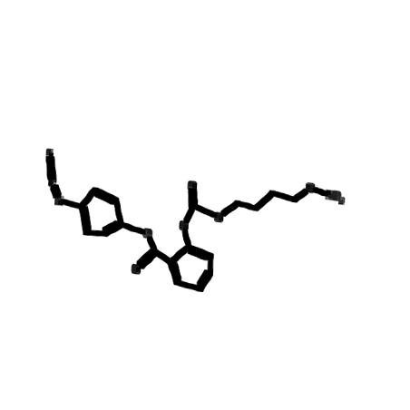 O=C(OCCCCO[N+](=O)[O-])Oc1ccccc1C(=O)Oc1ccc(N=C=S)cc1